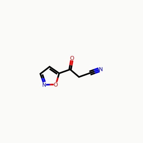 N#CCC(=O)c1ccno1